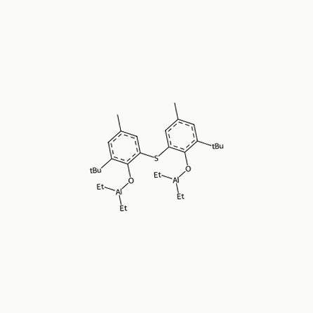 C[CH2][Al]([CH2]C)[O]c1c(Sc2cc(C)cc(C(C)(C)C)c2[O][Al]([CH2]C)[CH2]C)cc(C)cc1C(C)(C)C